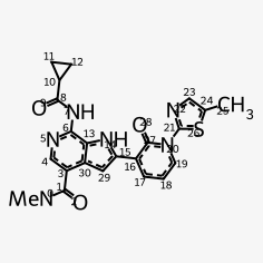 CNC(=O)c1cnc(NC(=O)C2CC2)c2[nH]c(-c3cccn(-c4ncc(C)s4)c3=O)cc12